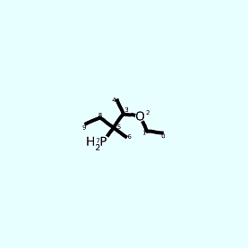 CCOC(C)C(C)(P)CC